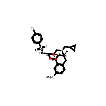 COc1ccc2c(c1)[C@]13CCN(CC4CC4)[C@H](C2)[C@]12CC[C@@](NS(=O)(=O)c1ccc(Cl)cc1)(CO2)C3